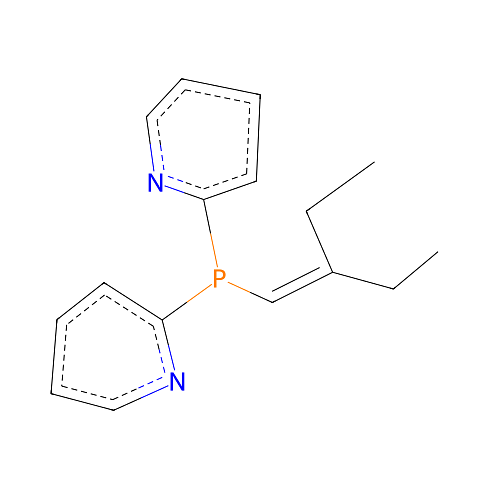 CCC(=CP(c1ccccn1)c1ccccn1)CC